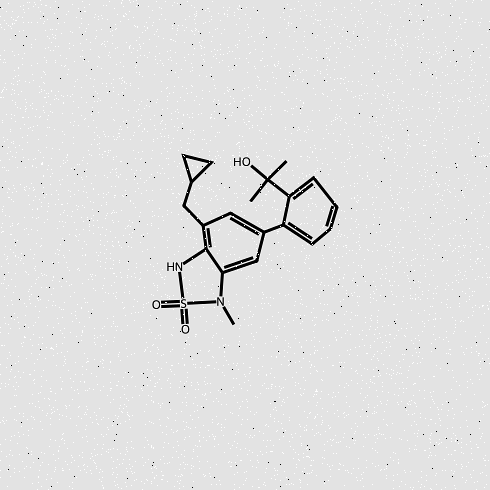 CN1c2cc(-c3ccccc3C(C)(C)O)cc(CC3CC3)c2NS1(=O)=O